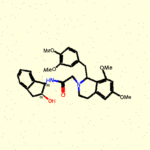 COc1cc2c(c(OC)c1)C(Cc1ccc(OC)c(OC)c1)N(CC(=O)N[C@@H]1c3ccccc3C[C@@H]1O)CC2